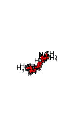 CC[C@H](NC(=O)OC)C(=O)N1C[C@@H](C#N)C[C@H]1c1ncc(-c2ccc3cc(-c4ccc(-c5cnc([C@@H]6CC7(CC7)CN6C(O)[C@@H](NC(=O)OC)C(C)C)[nH]5)cc4)ccc3c2)[nH]1